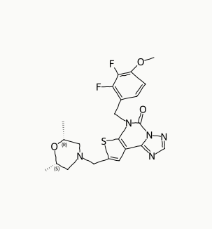 COc1ccc(Cn2c(=O)n3ncnc3c3cc(CN4C[C@@H](C)O[C@@H](C)C4)sc32)c(F)c1F